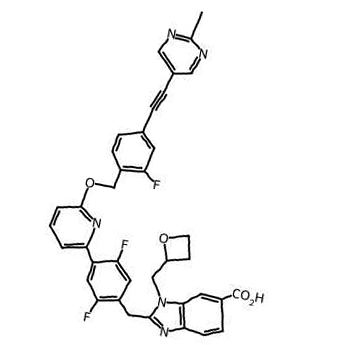 Cc1ncc(C#Cc2ccc(COc3cccc(-c4cc(F)c(Cc5nc6ccc(C(=O)O)cc6n5CC5CCO5)cc4F)n3)c(F)c2)cn1